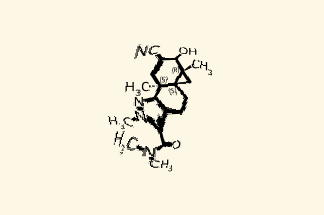 CN(C)C(=O)c1c2c(nn1C)[C@@]1(C)C=C(C#N)C(O)[C@]3(C)C[C@]31CC2